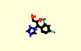 OCC(O)C(c1ccc(F)cc1F)n1cncn1